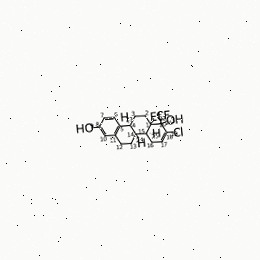 CC[C@]12CC[C@@H]3c4ccc(O)cc4CC[C@H]3[C@@H]1CC=C(Cl)C2(O)C(F)(F)F